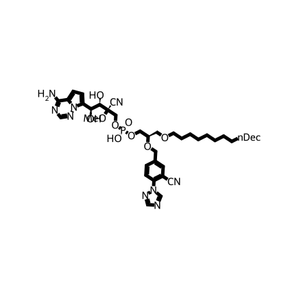 CCCCCCCCCCCCCCCCCCOC[C@H](COP(=O)(O)OC[C@@](C#N)(OC)[C@@H](O)[C@@H](O)c1ccc2c(N)ncnn12)OCc1ccc(-n2cncn2)c(C#N)c1